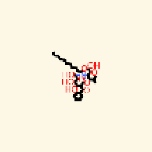 CCCCCCCCCCC(=O)N[C@H]1C(CO)OCC(C)[C@H]1O[C@H]1OC(CO)[C@H](O)[C@H](O)C1C(=O)c1ccccc1